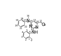 Cc1ccccc1Nc1nc(C=O)cc(N(C)c2ccccc2)n1